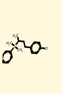 CC(CCc1ccc(Cl)cc1)S(C)(C)c1ccccc1